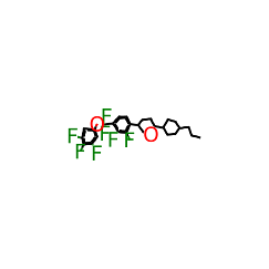 CCCC1CCC(C2CCC(c3ccc(C(F)(F)Oc4cc(F)c(F)c(F)c4)c(F)c3F)CO2)CC1